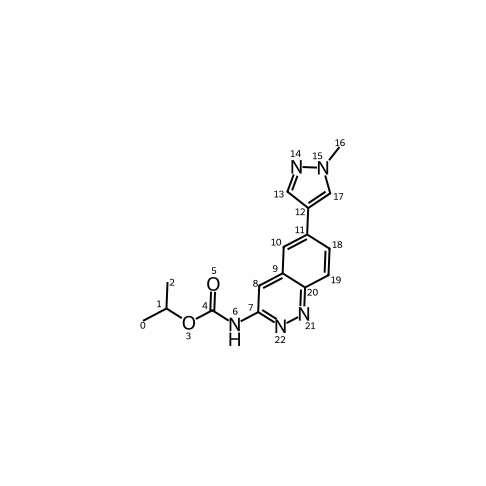 CC(C)OC(=O)Nc1cc2cc(-c3cnn(C)c3)ccc2nn1